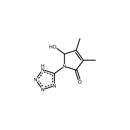 CC1=C(C)C(O)N(c2nnn[nH]2)C1=O